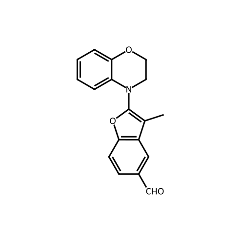 Cc1c(N2CCOc3ccccc32)oc2ccc(C=O)cc12